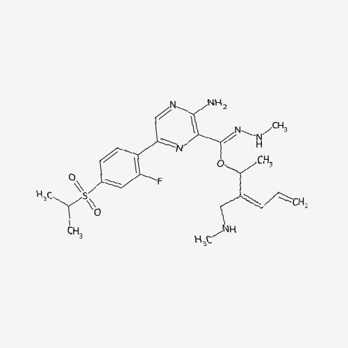 C=C/C=C(/CNC)C(C)O/C(=N\NC)c1nc(-c2ccc(S(=O)(=O)C(C)C)cc2F)cnc1N